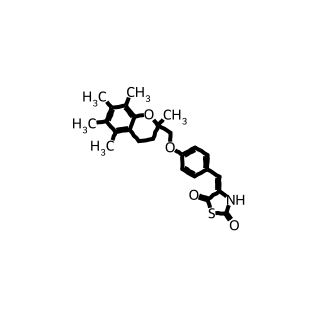 Cc1c(C)c(C)c2c(c1C)CCC(C)(COc1ccc(C=C3NC(=O)SC3=O)cc1)O2